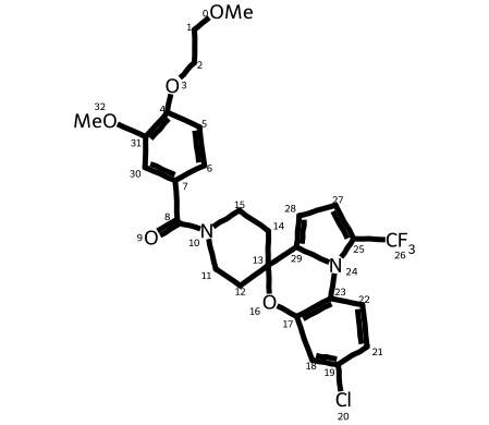 COCCOc1ccc(C(=O)N2CCC3(CC2)Oc2cc(Cl)ccc2-n2c(C(F)(F)F)ccc23)cc1OC